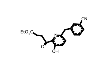 CCOC(=O)CCC(=O)c1nc(Cc2cccc(C#N)c2)ccc1O